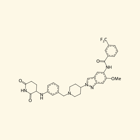 COc1cc2nn(C3CCN(Cc4cccc(NC5CCC(=O)NC5=O)c4)CC3)cc2cc1NC(=O)c1cccc(C(F)(F)F)c1